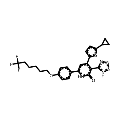 O=c1[nH]c(-c2ccc(OCCCCCC(F)(F)F)cc2)cc(-c2ccc(C3CC3)s2)c1-c1nnn[nH]1